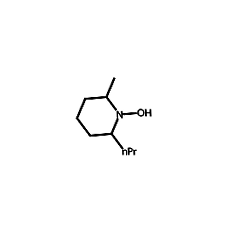 CCCC1CCCC(C)N1O